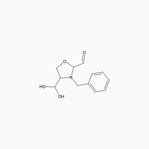 O=CC1OCC(C(O)O)N1Cc1ccccc1